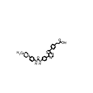 CN1CCN(c2ccc(NC(=O)Nc3ccc(-c4ncnc5c(-c6ccc(CCC(=O)O)cc6)csc45)cc3)cc2)CC1